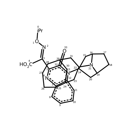 CC(C)O/N=C(\C(=O)O)c1nc2ccccc2n(C2CC3CCC(C2)N3C2CC3CCCCC(C3)C2)c1=O